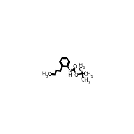 C=CCCc1ccccc1NC(=O)OC(C)(C)C